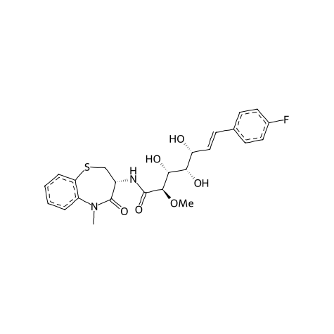 CO[C@@H](C(=O)N[C@H]1CSc2ccccc2N(C)C1=O)[C@H](O)[C@@H](O)[C@H](O)/C=C/c1ccc(F)cc1